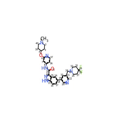 CN1CCC(Oc2cc(NC(=O)c3n[nH]c4ccc(-c5cncc(CN6CCC(F)(F)CC6)c5)cc34)ccn2)CC1